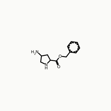 NC1CNC(C(=O)OCc2ccccc2)C1